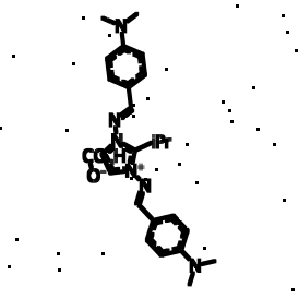 CC(C)c1n(N=Cc2ccc(N(C)C)cc2)cc[n+]1N=Cc1ccc(N(C)C)cc1.O=C([O-])O